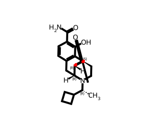 C[C@H](C1CCC1)N1CC[C@]23CC(=O)CC[C@H]2[C@H]1Cc1ccc(C(N)=O)c(O)c13